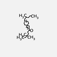 CCCC(C)CN1CCC2(CC1)CN(C(=O)CCC(C)(C)CC)C2